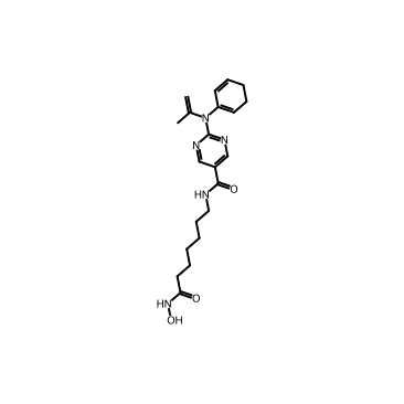 C=C(C)N(C1=CCCC=C1)c1ncc(C(=O)NCCCCCCC(=O)NO)cn1